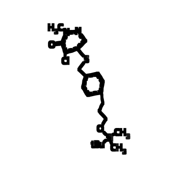 Cn1ncc(SCc2ccc(CCCO[Si](C)(C)C(C)(C)C)cc2)c(Cl)c1=O